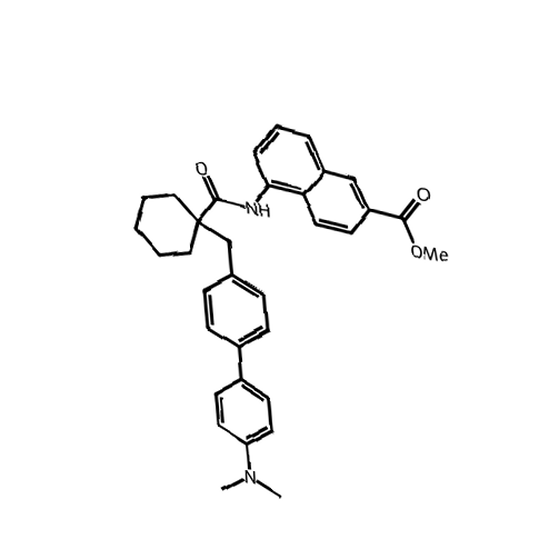 COC(=O)c1ccc2c(NC(=O)C3(Cc4ccc(-c5ccc(N(C)C)cc5)cc4)CCCCC3)cccc2c1